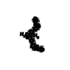 CC(C(=O)C(C)c1ccc(-c2ccc3ncc(N4CCOCC4)nc3c2)cc1)c1ccc(-c2ccc3ncc(N4CCOCC4)nc3c2)cc1